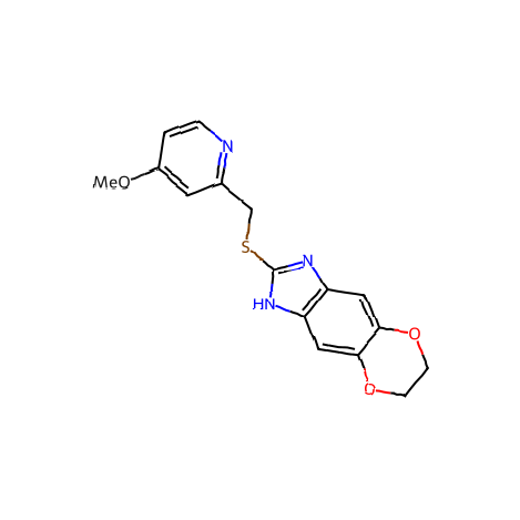 COc1ccnc(CSc2nc3cc4c(cc3[nH]2)OCCO4)c1